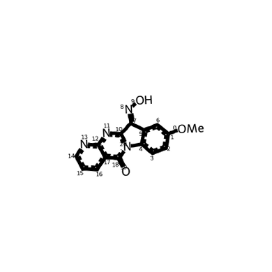 COc1ccc2c(c1)C(=NO)c1nc3ncccc3c(=O)n1-2